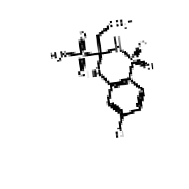 NS(=O)(=O)C1(CC(=O)O)Nc2cc(Cl)ccc2S(=O)(=O)N1